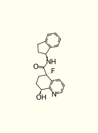 O=C(N[C@H]1CCc2ccccc21)[C@]1(F)CC[C@H](O)c2ncccc21